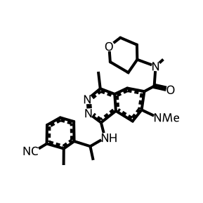 CNc1cc2c(NC(C)c3cccc(C#N)c3C)nnc(C)c2cc1C(=O)N(C)C1CCOCC1